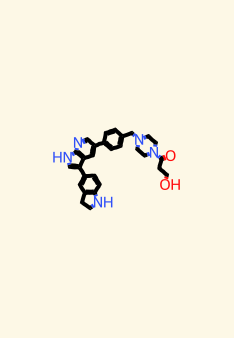 O=C(CCO)N1CCN(Cc2ccc(-c3cnc4[nH]cc(-c5ccc6c(c5)CCN6)c4c3)cc2)CC1